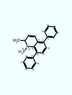 CC1C=Cc2c(-c3ccccc3)ccc(-c3ccccc3)c2N1P